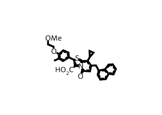 COCCOc1ccc(-c2sc3c(C4CC4)c(Cc4cccc5ccccc45)cc(=O)n3c2C(=O)O)cc1C